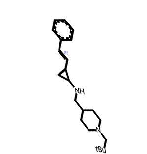 CC(C)(C)CN1CCC(CNC2CC2/C=C/c2ccccc2)CC1